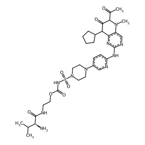 CC(=O)C1C(=O)C(C2CCCC2)c2nc(Nc3ccc(N4CCN(S(=O)(=O)NC(=O)OCCNC(=O)[C@@H](N)C(C)C)CC4)cn3)ncc2N1C